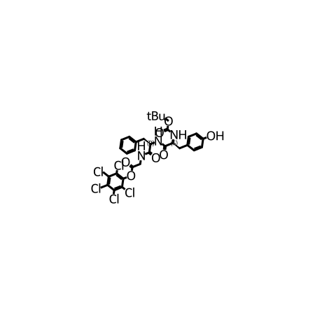 CC(C)(C)OC(=O)N[C@@H](Cc1ccc(O)cc1)C(=O)N[C@H](Cc1ccccc1)C(=O)NCC(=O)Oc1c(Cl)c(Cl)c(Cl)c(Cl)c1Cl